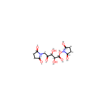 O=C(CN1C(=O)CCC1=O)C(O)C(O)C(=O)ON1C(=O)CCC1=O